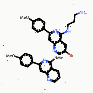 CNc1nc(-c2ccc(OC)cc2)cc2ncccc12.COc1ccc(-c2cc3ncc(Br)cc3c(NCCCN)n2)cc1